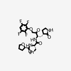 CC(C)C[C@H](NC(=O)[C@H]1CCCO1)C(=O)N[C@@H](C[C@@H]1CCNC1=O)C(=O)COc1c(F)c(F)cc(F)c1F